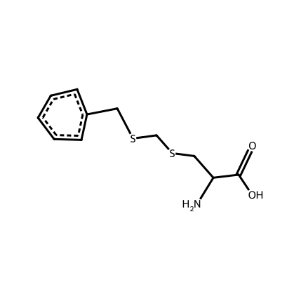 NC(CSCSCc1ccccc1)C(=O)O